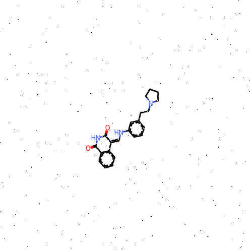 O=C1NC(=O)c2ccccc2C1=CNc1cccc(CCN2CCCC2)c1